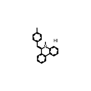 Cc1ccc(C=C2c3ccccc3-c3ccccc3N2C)cc1.I